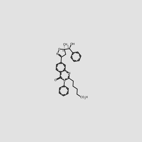 C[C@]1([C@@H](O)c2ccccc2)CC(c2ccc3c(=O)n(-c4ccccc4)c(CCCCC(=O)O)nc3c2)=NO1